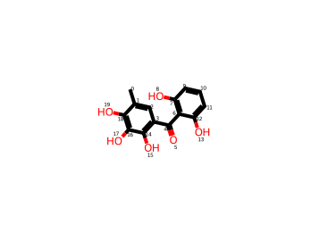 Cc1cc(C(=O)c2c(O)cccc2O)c(O)c(O)c1O